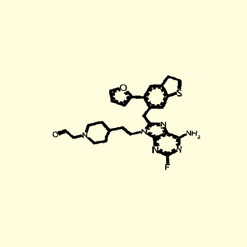 Nc1nc(F)nc2c1nc(Cc1cc3c(cc1-c1ccco1)CCS3)n2CCC1CCN(CC=O)CC1